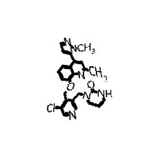 Cc1cc(-c2ccnn2C)c2cccc(OCc3c(Cl)cncc3CN3CCCNC3=O)c2n1